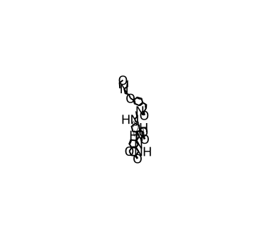 O=C1COc2ccc(N3C(=O)O[C@H]4C[C@@H](NCCn5c(=O)ccc6ccc(OCCN7CCOCC7)cc65)CC[C@@H]43)nc2N1